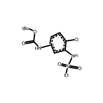 CCS(=O)(=O)Nc1cc(NC(=O)OC(C)(C)C)ccc1Cl